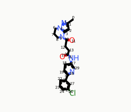 Cc1cc2n(n1)CCCN2C(=O)CCC(=O)Nc1ccc(-c2cccc(Cl)c2)nc1